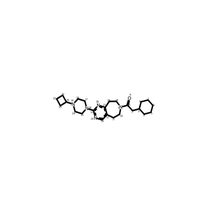 O=C(CC1CCCCC1)N1CCc2cnc(N3CCN(C4CCC4)CC3)nc2CC1